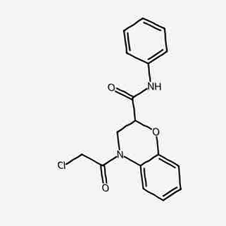 O=C(Nc1ccccc1)C1CN(C(=O)CCl)c2ccccc2O1